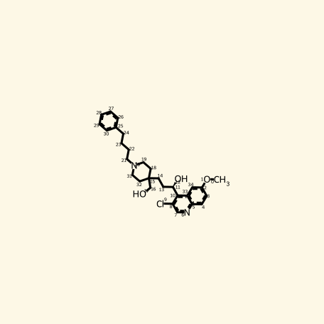 COc1ccc2ncc(Cl)c([C@H](O)CCC3(CO)CCN(CCCCc4ccccc4)CC3)c2c1